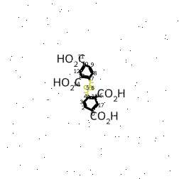 O=C(O)c1ccc(SSc2ccc(C(=O)O)cc2C(=O)O)c(C(=O)O)c1